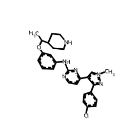 CC(Oc1cccc(Nc2nccc(-c3cn(C)nc3-c3ccc(Cl)cc3)n2)c1)C1CCNCC1